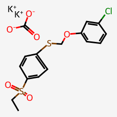 CCS(=O)(=O)c1ccc(SCOc2cccc(Cl)c2)cc1.O=C([O-])[O-].[K+].[K+]